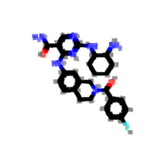 NC(=O)c1cnc(NC2CCCCC2N)nc1Nc1ccc2c(c1)CN(C(=O)c1ccc(F)cc1)CC2